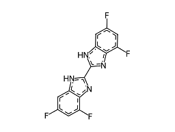 Fc1cc(F)c2nc(-c3nc4c(F)cc(F)cc4[nH]3)[nH]c2c1